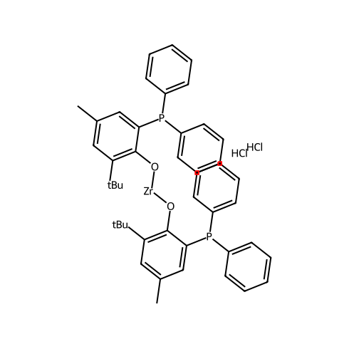 Cc1cc(P(c2ccccc2)c2ccccc2)c([O][Zr][O]c2c(P(c3ccccc3)c3ccccc3)cc(C)cc2C(C)(C)C)c(C(C)(C)C)c1.Cl.Cl